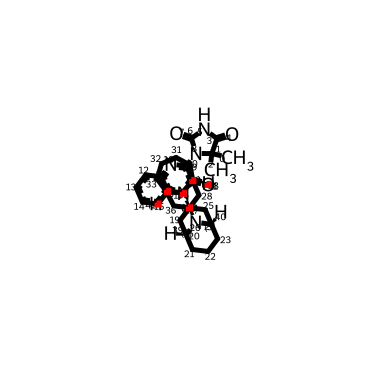 CC1(C)C(=O)NC(=O)N1c1nc2ccccc2n([C@@H]2C[C@H]3CCC[C@@H](C2)N3[C@@H]2C[C@@H]3CCCC[C@@H](C3)C2)c1=O